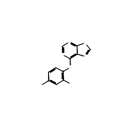 Clc1ccc(Nc2ncnc3[nH]cnc23)c(Cl)c1